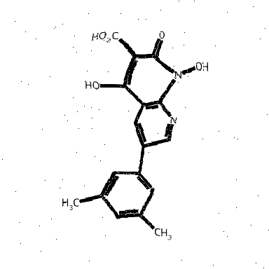 Cc1cc(C)cc(-c2cnc3c(c2)c(O)c(C(=O)O)c(=O)n3O)c1